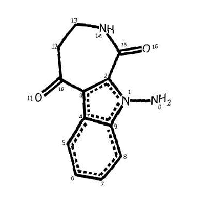 Nn1c2c(c3ccccc31)C(=O)CCNC2=O